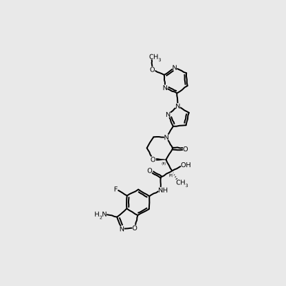 COc1nccc(-n2ccc(N3CCO[C@H]([C@@](C)(O)C(=O)Nc4cc(F)c5c(N)noc5c4)C3=O)n2)n1